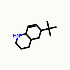 CC(C)(C)C1C=CC2NCCCC2C1